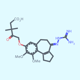 COc1c(OCC(=O)C(C)(C)CC(=O)O)cc2c(c1OC)C1=C(CCC1)C(=NNC(=N)N)CC2